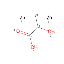 CC(O)C(=O)O.[Zn].[Zn]